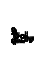 CSc1ncccc1-c1cc(-c2ccc(NC(=O)NC3CC3)cc2)nc(N2CCOCC2C)n1